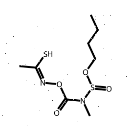 CCCCOS(=O)N(C)C(=O)ON=C(C)S